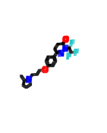 CC1CCCN1CCCOc1ccc(C2=NN(C(F)C(F)F)C(=O)CC2)cc1